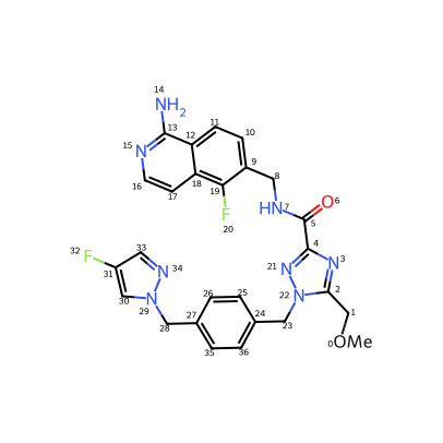 COCc1nc(C(=O)NCc2ccc3c(N)nccc3c2F)nn1Cc1ccc(Cn2cc(F)cn2)cc1